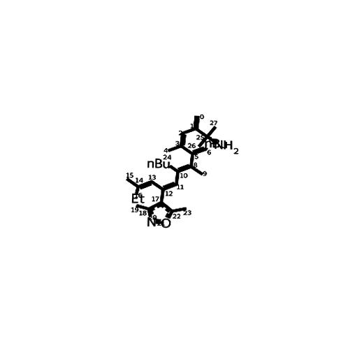 C=C(\C=C(C)/C(=C\CCCC)C(/C)=C(/C=C(\C=C(\C)CC)c1c(C)noc1C)CCCC)C(C)(C)N